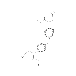 CCC(C)N(CC1CO1)c1ccc(Cc2ccc(N(CC3CO3)C(C)CC)cc2)cc1